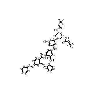 CC(C)(C)OC(=O)N[C@@H]1C[C@H](NC(=O)OC(C)(C)C)CN(c2nc(Cl)nc(Nc3ccc(NC(=O)c4ccc(OCc5ccccc5)cc4OCc4ccccc4)c(O)c3)n2)C1